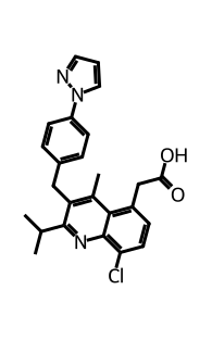 Cc1c(Cc2ccc(-n3cccn3)cc2)c(C(C)C)nc2c(Cl)ccc(CC(=O)O)c12